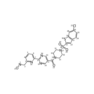 O=NCc1cccc(-c2ncc(C(=O)N3CCN(S(=O)(=O)c4cc5ccc(Cl)cc5s4)CC3)cn2)n1